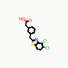 O=C(O)Cc1cccc(Cc2nc3c(Cl)c(Cl)ccc3s2)c1